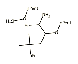 CCCCCOC(CC(C)(C)CCC)C(N)CC.CCCCCO[SiH3]